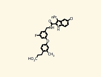 CCCc1c(C(=O)NCc2cc(F)cc(Oc3ccc(CCC(=O)O)c(C)c3)c2)[nH]c2ccc(Cl)cc12